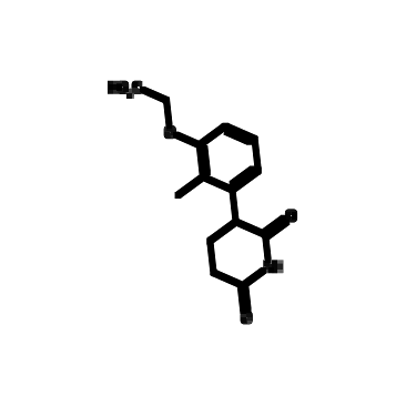 Cc1c(OCC(=O)O)cccc1C1CCC(=O)NC1=O